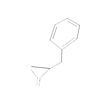 c1ccc(C[C]2NO2)cc1